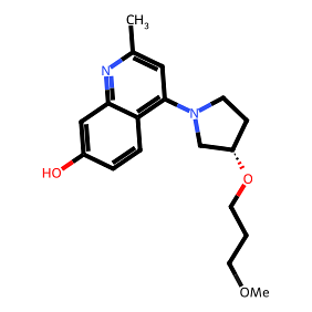 COCCCO[C@H]1CCN(c2cc(C)nc3cc(O)ccc23)C1